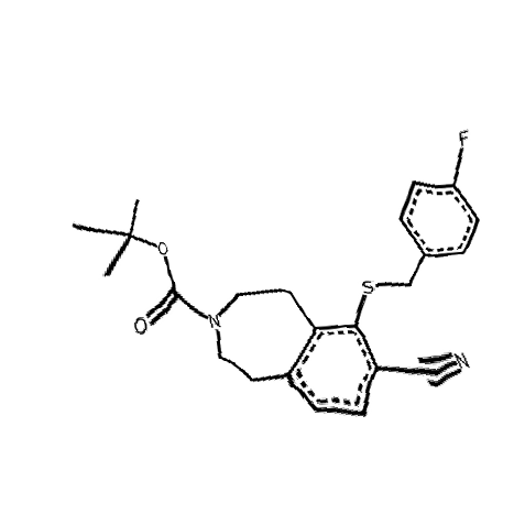 CC(C)(C)OC(=O)N1CCc2ccc(C#N)c(SCc3ccc(F)cc3)c2CC1